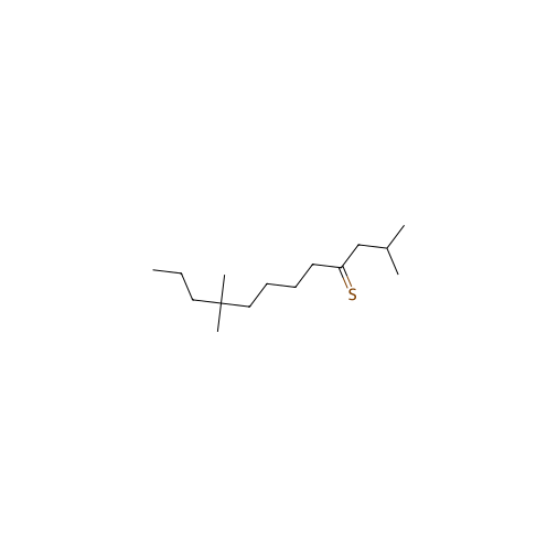 CCCC(C)(C)CCCCC(=S)CC(C)C